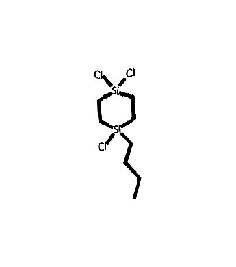 CCCC[Si]1(Cl)CC[Si](Cl)(Cl)CC1